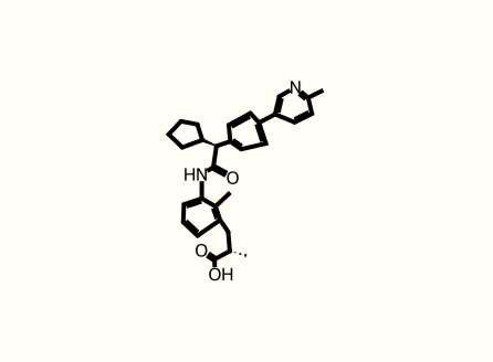 Cc1ccc(-c2ccc([C@@H](C(=O)Nc3cccc(C[C@H](C)C(=O)O)c3C)C3CCCC3)cc2)cn1